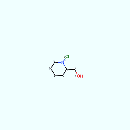 OC[C@H]1CCCCN1Cl